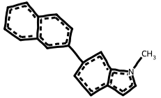 Cn1ccc2ccc(-c3ccc4ccccc4c3)cc21